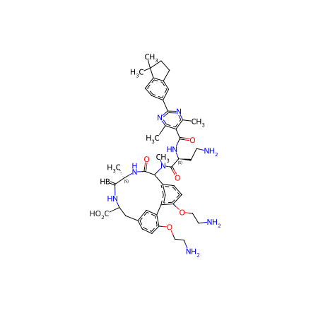 B=C1NC(C(=O)O)Cc2ccc(OCCN)c(c2)-c2cc(ccc2OCCN)C(N(C)C(=O)[C@H](CCN)NC(=O)c2c(C)nc(-c3ccc4c(c3)CCC4(C)C)nc2C)C(=O)N[C@H]1C